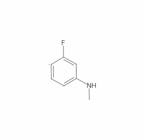 CNc1cc[c]c(F)c1